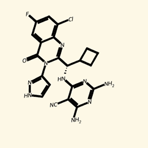 N#Cc1c(N)nc(N)nc1N[C@H](c1nc2c(Cl)cc(F)cc2c(=O)n1-c1cc[nH]n1)C1CCC1